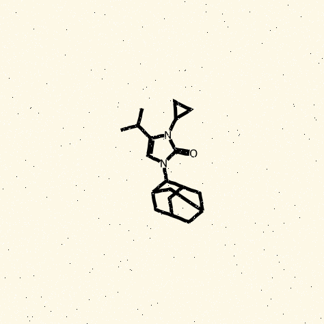 CC(C)c1cn(C2C3CC4CC(C3)CC2C4)c(=O)n1C1CC1